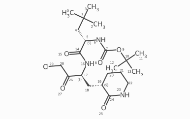 CC(C)(C)C[C@H](NC(=O)OC(C)(C)C)C(=O)N[C@@H](C[C@@H]1CCCNC1=O)C(=O)CCl